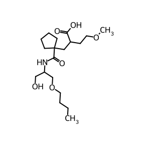 CCCCOCC(CO)NC(=O)C1(CC(CCOC)C(=O)O)CCCC1